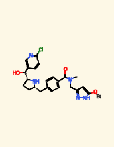 CCOc1cc(CN(C)C(=O)c2ccc(C[C@@H]3CC[C@H](C(O)c4ccc(Cl)nc4)N3)cc2)n[nH]1